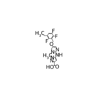 CCc1cc(F)c(F)c(COc2cnc(Nc3cc(C(=O)O)nn3C)nc2)c1F